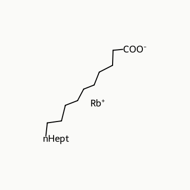 CCCCCCCCCCCCCCCCC(=O)[O-].[Rb+]